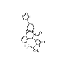 C=C(C)c1n[nH]c2c1C(c1ccccc1OC)N(c1ccc(-c3ccon3)cc1)C2=O